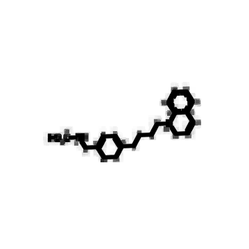 O=C(O)NCC1=CC=C(CCCCN2CC=Cc3ccccc32)CC1